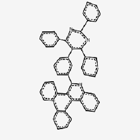 c1ccc(-c2nc(-c3ccccc3)c(-c3cccc(-c4nc5ccccc5c5c6ccccc6c6ccccc6c45)c3)c(-c3ccccc3)n2)cc1